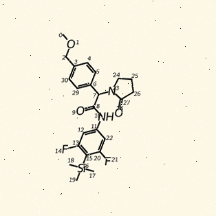 COCc1ccc(C(C(=O)Nc2cc(F)c([Si](C)(C)C)c(F)c2)N2CCCC2=O)cc1